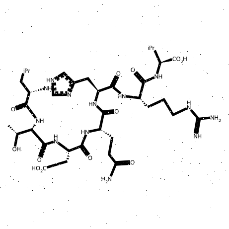 CC(C)C[C@H](N)C(=O)N[C@H](C(=O)N[C@@H](CC(=O)O)C(=O)N[C@@H](CCC(N)=O)C(=O)N[C@@H](Cc1c[nH]cn1)C(=O)N[C@@H](CCCNC(=N)N)C(=O)N[C@H](C(=O)O)C(C)C)[C@@H](C)O